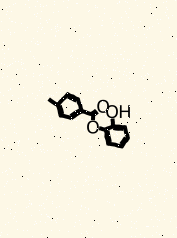 Cc1ccc(C(=O)Oc2ccccc2O)cc1